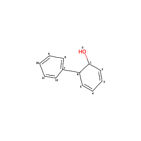 OC1C=CC=C[C]1c1ccccc1